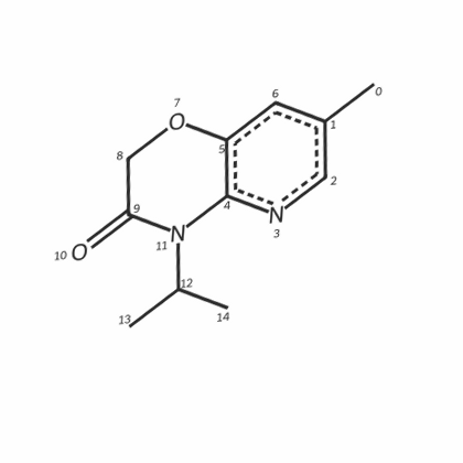 Cc1cnc2c(c1)OCC(=O)N2C(C)C